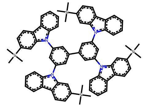 C[Si](C)(C)c1ccc2c3ccccc3n(-c3cc(-c4cc(-n5c6ccccc6c6ccc([Si](C)(C)C)cc65)cc(-n5c6ccccc6c6ccc([Si](C)(C)C)cc65)c4)cc(-n4c5ccccc5c5ccc([Si](C)(C)C)cc54)c3)c2c1